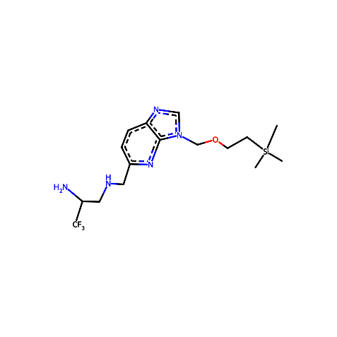 C[Si](C)(C)CCOCn1cnc2ccc(CNCC(N)C(F)(F)F)nc21